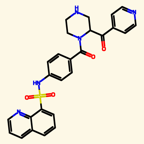 O=C(c1ccncc1)C1CNCCN1C(=O)c1ccc(NS(=O)(=O)c2cccc3cccnc23)cc1